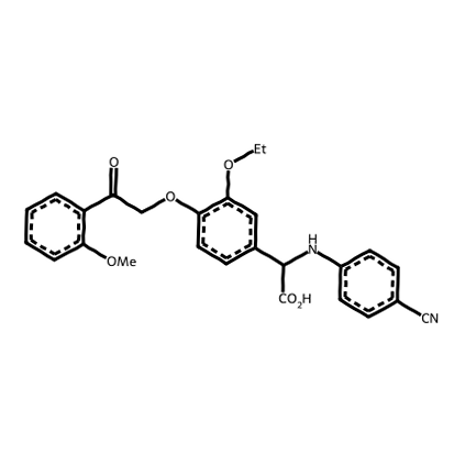 CCOc1cc(C(Nc2ccc(C#N)cc2)C(=O)O)ccc1OCC(=O)c1ccccc1OC